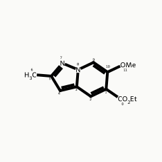 CCOC(=O)c1cc2cc(C)nn2cc1OC